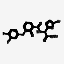 COC(=O)C(NC(=O)c1cccn(Cc2ccc(F)c(F)c2)c1=O)c1ccc(Br)s1